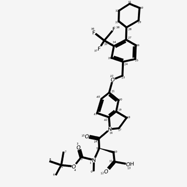 CN(C(=O)OC(C)(C)C)[C@H](CC(=O)O)C(=O)N1CCc2cc(OCc3ccc(C4CCCCC4)c(C(F)(F)F)c3)ccc21